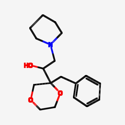 OC(CN1CCCCC1)C1(Cc2ccccc2)COCCO1